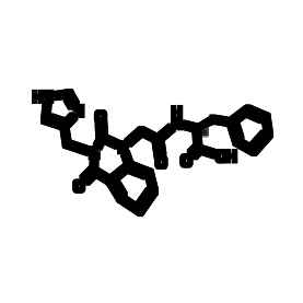 O=C(Cn1c(=O)n(Cc2c[nH]cn2)c(=O)c2ccccc21)N[C@@H](Cc1ccccc1)C(=O)O